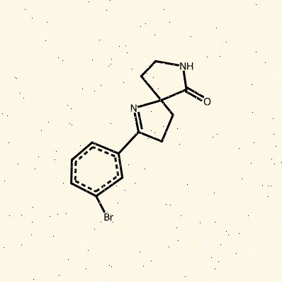 O=C1NCCC12CCC(c1cccc(Br)c1)=N2